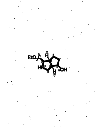 CCOC(=O)C1NC[C@@H]2[C@H](O)CC[C@H]12